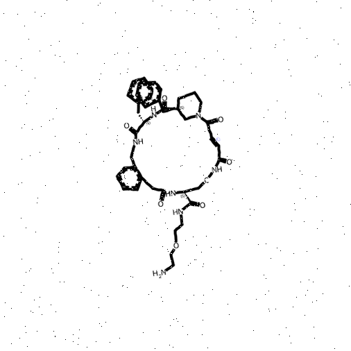 NCCOCCNC(=O)[C@@H]1CCNC(=O)/C=C/C(=O)N2CCC[C@](Cc3ccccc3)(C2)C(=O)N[C@@H](Cc2ccccc2)C(=O)NCc2ccccc2CC(=O)N1